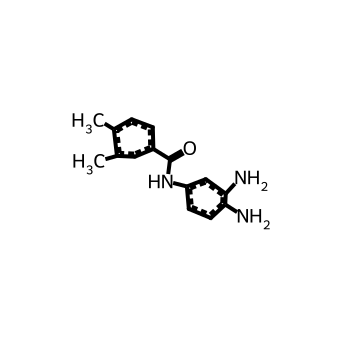 Cc1ccc(C(=O)Nc2ccc(N)c(N)c2)cc1C